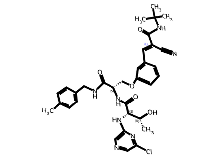 Cc1ccc(CNC(=O)[C@H](COc2cccc(/C=C(\C#N)C(=O)NC(C)(C)C)c2)NC(=O)[C@@H](Nc2cncc(Cl)n2)[C@@H](C)O)cc1